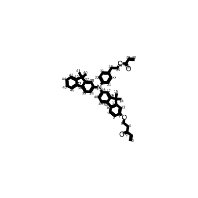 C=CC(=O)CCOc1ccc2c(c1)C(C)(C)c1cc(N(c3ccc(CCOC(=O)C=C)cc3)c3ccc4c(c3)C(C)(C)c3ccccc3-4)ccc1-2